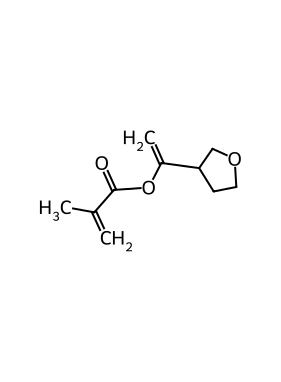 C=C(C)C(=O)OC(=C)C1CCOC1